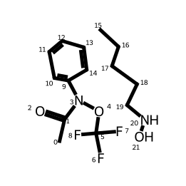 CC(=O)N(OC(F)(F)F)c1ccccc1.CCCCCNO